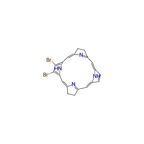 Brc1c(Br)c2cc3nc(cc4ccc(cc5nc(cc1[nH]2)CC5)[nH]4)CC3